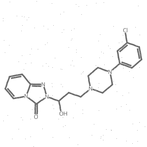 O=c1n(C(O)CCN2CCN(c3cccc(Cl)c3)CC2)nc2ccccn12